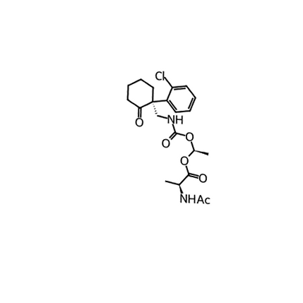 CC(=O)N[C@@H](C)C(=O)O[C@H](C)OC(=O)NC[C@@]1(c2ccccc2Cl)CCCCC1=O